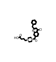 O=C(O)CCCN1CCN(C(=O)c2ccc3c(Cl)cc(Cc4ccccc4)nc3c2)CC1